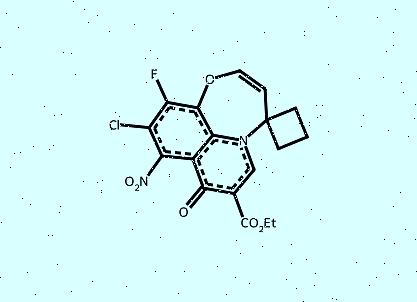 CCOC(=O)c1cn2c3c(c(F)c(Cl)c([N+](=O)[O-])c3c1=O)OC=CC21CCC1